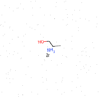 CCCO.N.[Zr]